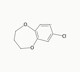 Clc1[c]cc2c(c1)OCCCO2